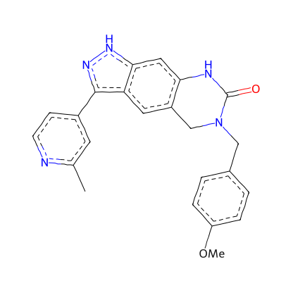 COc1ccc(CN2Cc3cc4c(-c5ccnc(C)c5)n[nH]c4cc3NC2=O)cc1